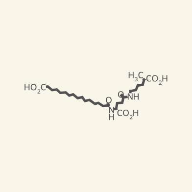 C[C@@H](CCCCNC(=O)CC[C@H](NC(=O)CCCCCCCCCCCCCCC(=O)O)C(=O)O)C(=O)O